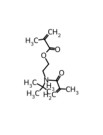 C=C(C)C(=O)OCCN(C(=O)C(=C)C)C(C)(C)C